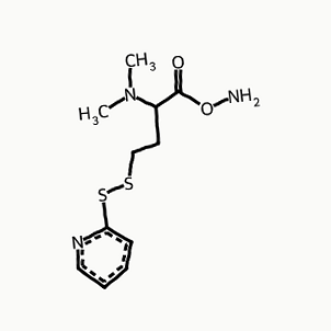 CN(C)C(CCSSc1ccccn1)C(=O)ON